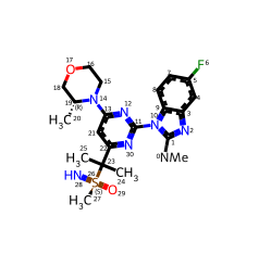 CNc1nc2cc(F)ccc2n1-c1nc(N2CCOC[C@H]2C)cc(C(C)(C)[S@@](C)(=N)=O)n1